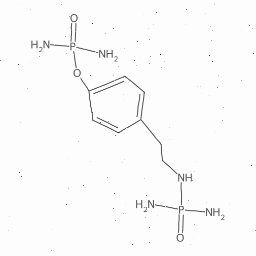 NP(N)(=O)NCCc1ccc(OP(N)(N)=O)cc1